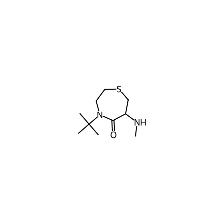 CNC1CSCCN(C(C)(C)C)C1=O